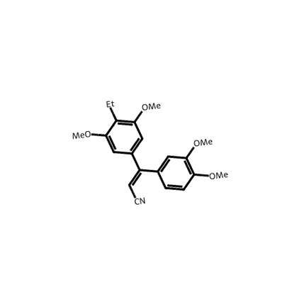 CCc1c(OC)cc(C(=CC#N)c2ccc(OC)c(OC)c2)cc1OC